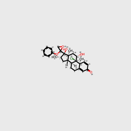 C[C@H]1C[C@H]2[C@@H]3CCC4=CC(=O)C=C[C@]4(C)[C@@]3(Cl)[C@@H](O)C[C@]2(C)[C@@]1(O)C1(Oc2ccccc2)CO1